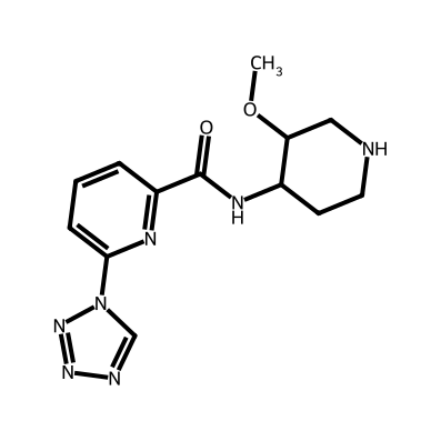 COC1CNCCC1NC(=O)c1cccc(-n2cnnn2)n1